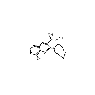 CCC(O)c1cc2cccc(C)c2nc1N1CCOCC1